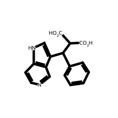 O=C(O)C(C(=O)O)C(c1ccccc1)c1c[nH]c2ccncc12